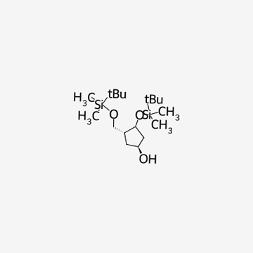 CC(C)(C)[Si](C)(C)OC[C@H]1C[C@H](O)CC1O[Si](C)(C)C(C)(C)C